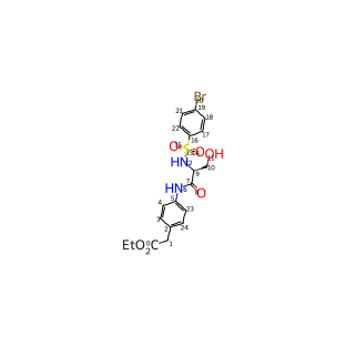 CCOC(=O)Cc1ccc(NC(=O)[C@H](CO)NS(=O)(=O)c2ccc(Br)cc2)cc1